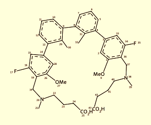 COc1cc(-c2cccc(-c3cccc(-c4cc(F)c(CN(C)CCCC(=O)O)c(OC)c4)c3C)c2C)cc(F)c1CN(C)CCCC(=O)O